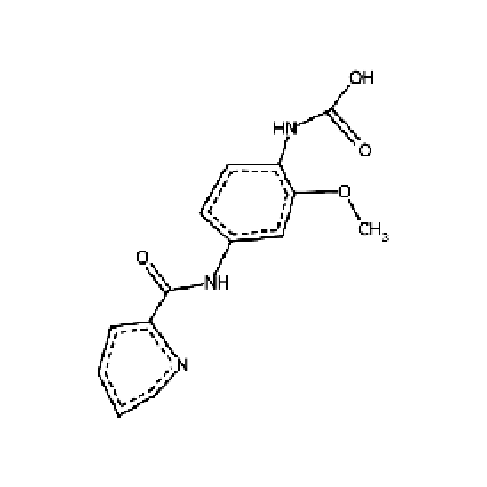 COc1cc(NC(=O)c2ccccn2)ccc1NC(=O)O